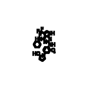 COc1cc(N2CCCC2O)ccc1Nc1nc(NC2CCCCC2)c2c(C(F)(F)F)c[nH]c2n1